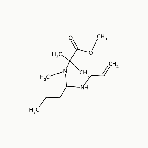 C=CCNC(CCC)N(C)C(C)(C)C(=O)OC